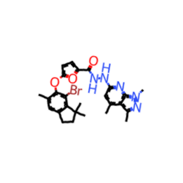 Cc1cc2c(c(Br)c1Oc1ccc(C(=O)NNc3cc(C)c4c(C)nn(C)c4n3)o1)C(C)(C)CC2